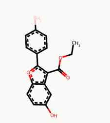 Bc1ccc(-c2oc3ccc(O)cc3c2C(=O)OCC)cc1